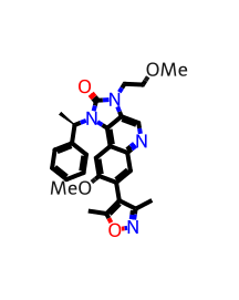 COCCn1c(=O)n([C@H](C)c2ccccc2)c2c3cc(OC)c(-c4c(C)noc4C)cc3ncc21